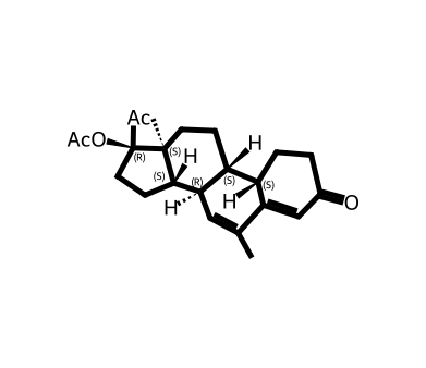 CC(=O)O[C@]1(C(C)=O)CC[C@H]2[C@@H]3C=C(C)C4=CC(=O)CC[C@H]4[C@H]3CC[C@@]21C